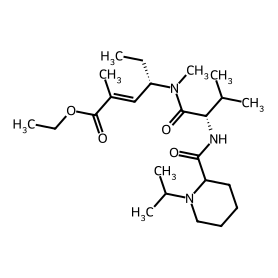 CCOC(=O)/C(C)=C/[C@H](CC)N(C)C(=O)[C@@H](NC(=O)C1CCCCN1C(C)C)C(C)C